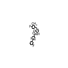 Cc1cc(CN2CCC(NC(=O)c3cnc(-c4cccc(F)c4)nc3)C2=O)ccc1F